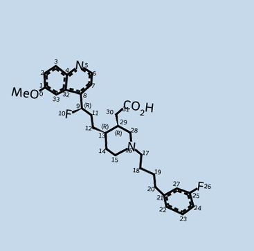 COc1ccc2nccc([C@H](F)CC[C@@H]3CCN(CCCCc4cccc(F)c4)C[C@@H]3CC(=O)O)c2c1